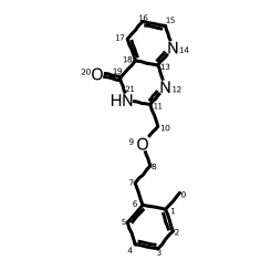 Cc1ccccc1CCOCc1nc2ncccc2c(=O)[nH]1